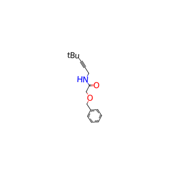 CC(C)(C)C#CCNC(=O)COCc1ccccc1